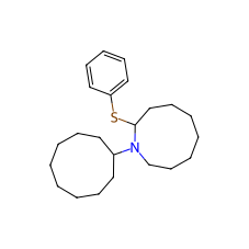 c1ccc(SC2CCCCCCCN2C2CCCCCCCC2)cc1